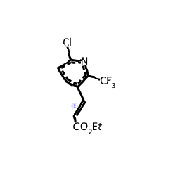 CCOC(=O)/C=C/c1ccc(Cl)nc1C(F)(F)F